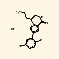 Cl.NCCC1CNC(=O)c2cc(-c3cc(Cl)ccc3F)cn21